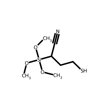 CO[Si](OC)(OC)C(C#N)CCS